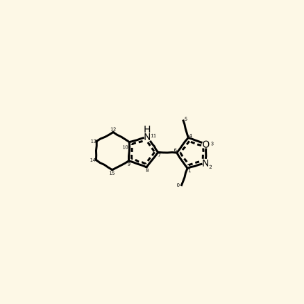 Cc1noc(C)c1-c1cc2c([nH]1)CCCC2